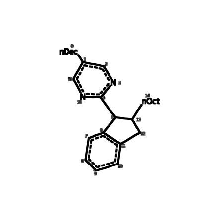 CCCCCCCCCCc1cnc(C2c3cc[c]cc3CC2CCCCCCCC)nc1